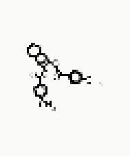 Cc1ccc(C(=O)OC2C3CC(C4CCCCC43)C2OC2OC2c2ccc(C)cc2)cc1